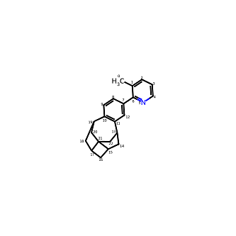 Cc1cccnc1-c1ccc2c(c1)C1CC3CC4CC2CC43C1